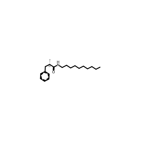 CCCCCCCCCCNC(=O)[C@@H](C)Cc1ccccc1